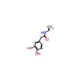 C=CNC(=O)Cc1ccc(O)c(O)c1